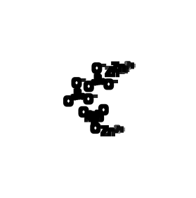 [O-]B([O-])[O-].[O-]B([O-])[O-].[O]=[Mo](=[O])=[O].[Zn+2].[Zn+2].[Zn+2]